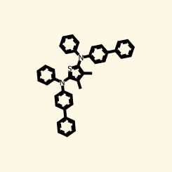 Cc1c(N(c2ccccc2)c2ccc(-c3ccccc3)cc2)sc(N(c2ccccc2)c2ccc(-c3ccccc3)cc2)c1C